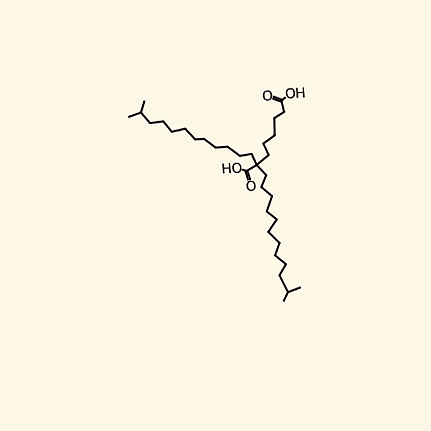 CC(C)CCCCCCCCCCC(CCCCCCCCCCC(C)C)(CCCCCC(=O)O)C(=O)O